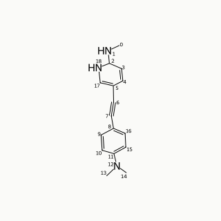 CNC1C=CC(C#Cc2ccc(N(C)C)cc2)=CN1